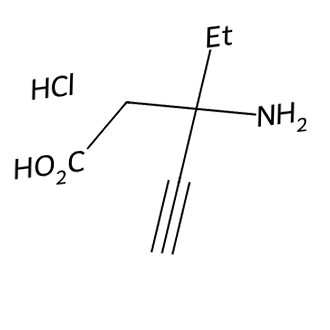 C#CC(N)(CC)CC(=O)O.Cl